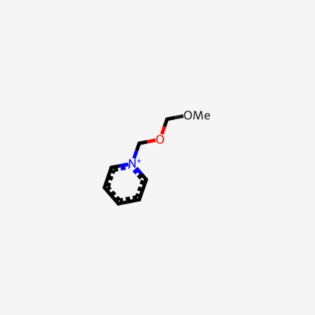 COCOC[n+]1ccccc1